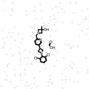 CC1(O)CN(Cc2ccc(C3CN(c4c(Cl)cccc4Cl)C3)cn2)C1.O=CO